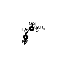 CC(=O)Oc1ccc(N(C)CCc2ccc(C(F)(F)F)cc2)cc1C(=O)O